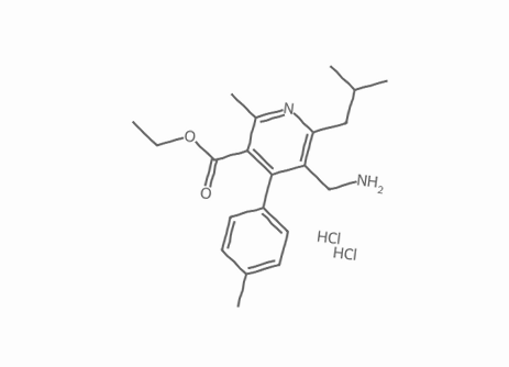 CCOC(=O)c1c(C)nc(CC(C)C)c(CN)c1-c1ccc(C)cc1.Cl.Cl